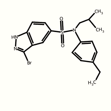 CCc1ccc(N(CC(C)C)S(=O)(=O)c2ccc3[nH]nc(Br)c3c2)cc1